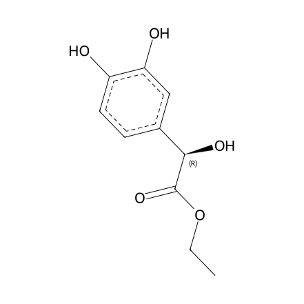 CCOC(=O)[C@H](O)c1ccc(O)c(O)c1